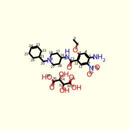 CCOc1cc(N)c([N+](=O)[O-])cc1C(=O)NC1CCN(CC2CC=CCC2)CC1.O=C(O)C(O)C(O)C(=O)O